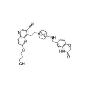 N#Cc1cnc2ccc(OCCCO)nc2c1CCC12CCC(NCc3ccc4c(n3)NC(=O)CO4)(CC1)CO2